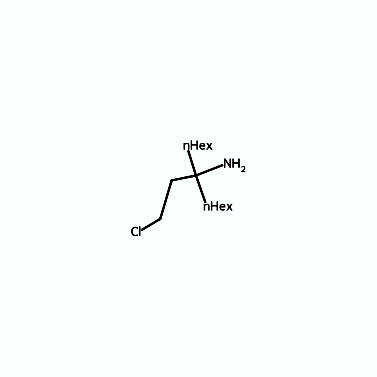 CCCCCCC(N)(CCCl)CCCCCC